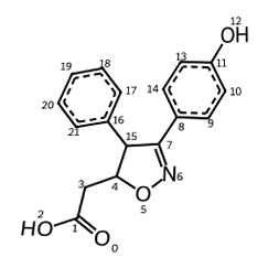 O=C(O)CC1ON=C(c2ccc(O)cc2)C1c1ccccc1